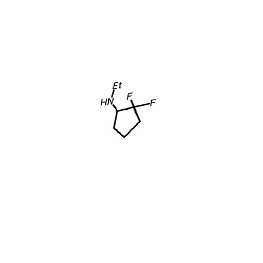 CCNC1CCCC1(F)F